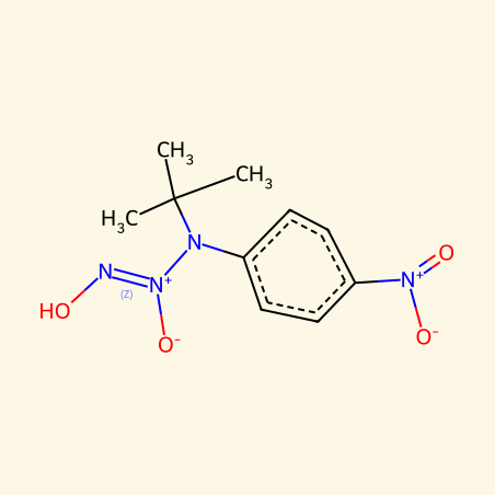 CC(C)(C)N(c1ccc([N+](=O)[O-])cc1)/[N+]([O-])=N/O